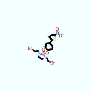 O=[N+]([O-])c1ccc(-c2ccc(OP3(=O)N(CCBr)CCN3CCBr)cc2)s1